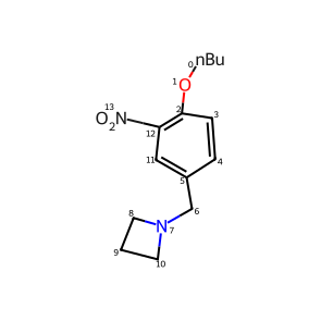 CCCCOc1ccc(CN2CCC2)cc1[N+](=O)[O-]